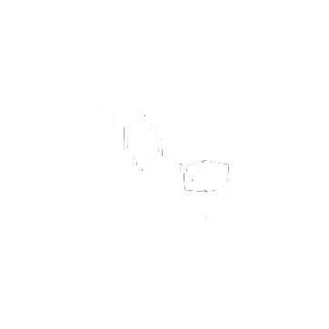 CCc1ccc(N2C[C@H]3C[C@@H]2CO3)nc1